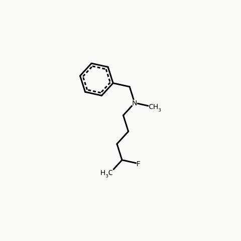 CC(F)CCCN(C)Cc1ccccc1